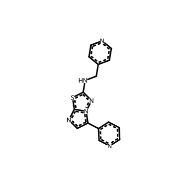 c1cncc(-c2cnc3sc(NCc4ccncc4)nn23)c1